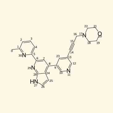 Cc1cccc(-c2cc(-c3cncc(C#CCN4CCOCC4)c3)c3cc[nH]c3n2)n1